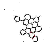 Cc1cc2c3cccc4c(-c5ccccc5)cc5c(c43)n3c2c(c1)c1cccc2c(-c4ccccc4)cc(c3c21)n5-c1ccccc1-c1ccccc1